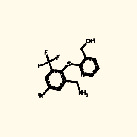 NCc1cc(Br)cc(C(F)(F)F)c1Sc1ncccc1CO